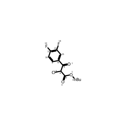 CCCCOC(=O)C(Cl)C(=O)c1ccc(F)c(F)c1